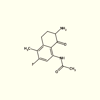 CC(=O)Nc1cc(F)c(C)c2c1C(=O)C(N)CC2